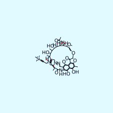 CO[C@H]1/C=C/O[C@@]2(C)Oc3c(C)c(O)c4c(O)c(c(/C=N/N5CC[N+](C)(CC#C[Si](C)(C)C)CC5)c([O-])c4c3C2=O)NC(=O)/C(C)=C\C=C\[C@H](C)C(O)C(C)C(O)[C@@H](C)[C@H](OC(C)=O)[C@@H]1C